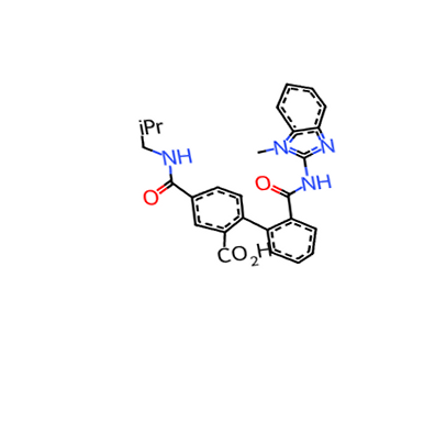 CC(C)CNC(=O)c1ccc(-c2ccccc2C(=O)Nc2nc3ccccc3n2C)c(C(=O)O)c1